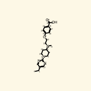 CCc1cnc(N2CCC(N(C)CCOc3ccc(C(=O)O)cc3)CC2)nc1